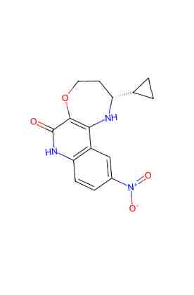 O=c1[nH]c2ccc([N+](=O)[O-])cc2c2c1OCC[C@H](C1CC1)N2